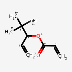 C=CC(=O)OC(C=C)C(C)(C)CCC